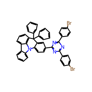 Brc1ccc(-c2nc(-c3ccc(Br)cc3)nc(-c3ccc4c(c3)C(c3ccccc3)(c3ccccc3)c3cccc5c6ccccc6n-4c35)n2)cc1